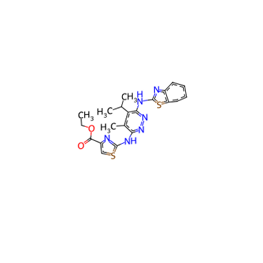 CCOC(=O)c1csc(Nc2nnc(Nc3nc4ccccc4s3)c(C(C)C)c2C)n1